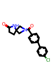 O=C1CCC2(CN(C(=O)c3ccc(-c4ccc(Cl)cc4)cc3)C2)N1